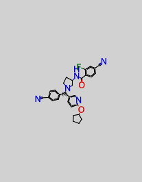 N#Cc1ccc([C@H](c2ccc(OC3CCCC3)nc2)N2CCC(NC(=O)c3ccc(C#N)cc3F)C2)cc1